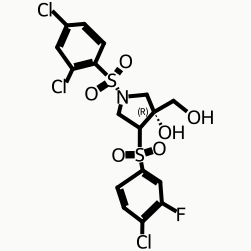 O=S(=O)(c1ccc(Cl)c(F)c1)C1CN(S(=O)(=O)c2ccc(Cl)cc2Cl)C[C@@]1(O)CO